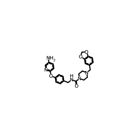 Nc1ccc(Oc2ccc(CNC(=O)N3CCN(Cc4ccc5c(c4)OCO5)CC3)cc2)nc1